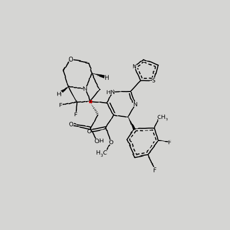 COC(=O)C1=C(CN2[C@@H]3COC[C@H]2C(F)(F)[C@@H](CC(=O)O)C3)NC(c2nccs2)=N[C@H]1c1ccc(F)c(F)c1C